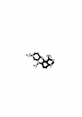 COc1ccc2ncnc(N)c2c1OC1CCN(C)CC1